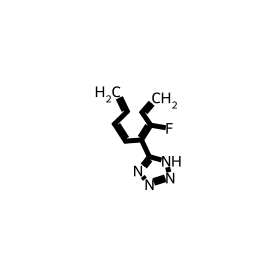 C=C/C=C\C(=C(\F)C=C)c1nnn[nH]1